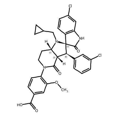 COc1cc(C(=O)O)ccc1N1CC[C@H]2[C@@H](C1=O)[C@H](c1cccc(Cl)c1)[C@]1(C(=O)Nc3cc(Cl)ccc31)N2CC1CC1